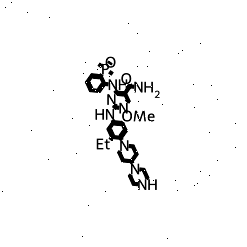 CCc1cc(Nc2ncc(C(N)=O)c(Nc3ccccc3P(C)(C)=O)n2)c(OC)cc1N1CCC(N2CCNCC2)CC1